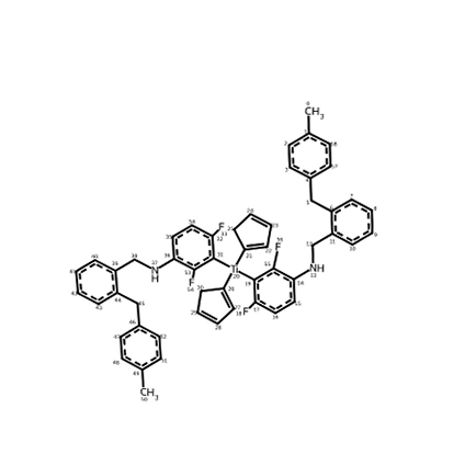 Cc1ccc(Cc2ccccc2CNc2ccc(F)[c]([Ti]([C]3=CC=CC3)([C]3=CC=CC3)[c]3c(F)ccc(NCc4ccccc4Cc4ccc(C)cc4)c3F)c2F)cc1